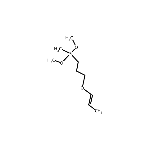 CC=COCCC[Si](C)(OC)OC